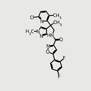 Cc1ccc(Cl)nc1C(C)(CNC(=O)c1cc(-c2ccc(F)cc2F)on1)c1cnn(C)c1